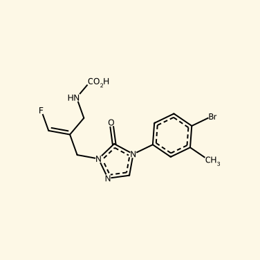 Cc1cc(-n2cnn(C/C(=C/F)CNC(=O)O)c2=O)ccc1Br